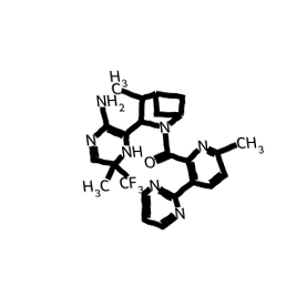 Cc1ccc(-c2ncccn2)c(C(=O)N2C3CC(C3)C(C)C2C2=C(N)N=CC(C)(C(F)(F)F)N2)n1